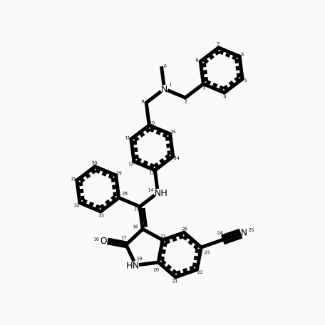 CN(Cc1ccccc1)Cc1ccc(NC(=C2C(=O)Nc3ccc(C#N)cc32)c2ccccc2)cc1